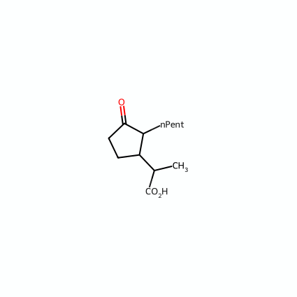 CCCCCC1C(=O)CCC1C(C)C(=O)O